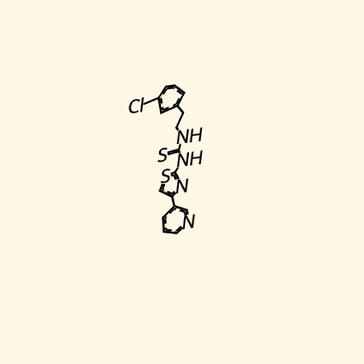 S=C(NCCc1cccc(Cl)c1)Nc1nc(-c2cccnc2)cs1